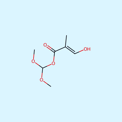 COC(OC)OC(=O)C(C)=CO